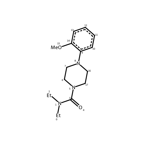 CCN(CC)C(=O)N1CCN(c2ccccc2OC)CC1